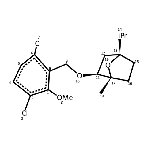 COc1c(Cl)ccc(Cl)c1CO[C@H]1C[C@]2(C(C)C)CC[C@@]1(C)O2